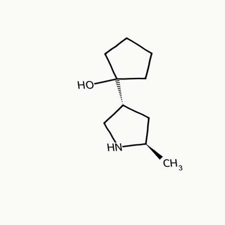 C[C@@H]1C[C@@H](C2(O)CCCC2)CN1